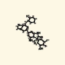 CC1(c2cc(O)c(F)c(F)c2)C(=O)Nc2nc(-c3cn4ccnc4c(Cc4ccccc4F)n3)nc(N)c21